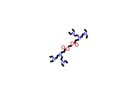 CCN(CC)CCN(CCC(=O)OCCOC(=O)CCN(CCN(CC)CC)CCN(CC)CC)CCN(CC)CC